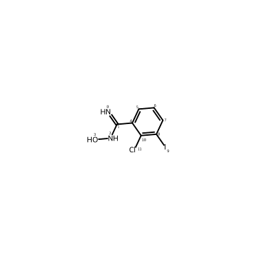 N=C(NO)c1cccc(I)c1Cl